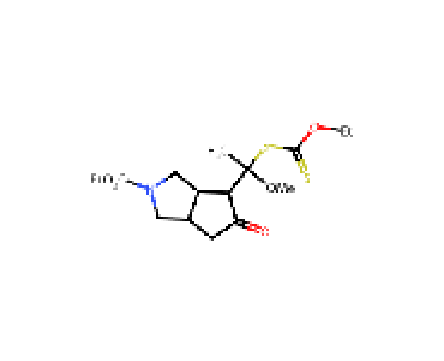 CCOC(=O)N1CC2CC(=O)C(C(OC)(SC(=S)OCC)C(F)(F)F)C2C1